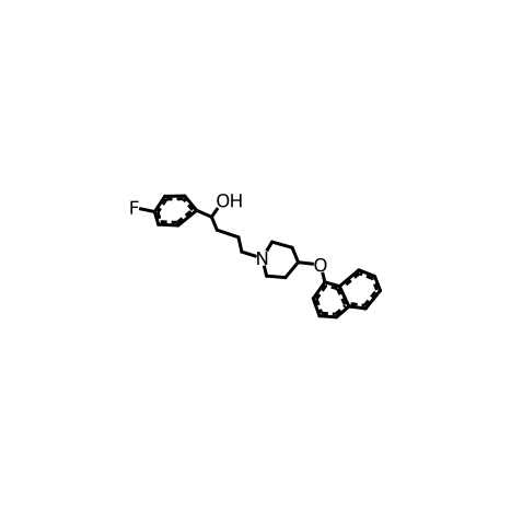 OC(CCCN1CCC(Oc2cccc3ccccc23)CC1)c1ccc(F)cc1